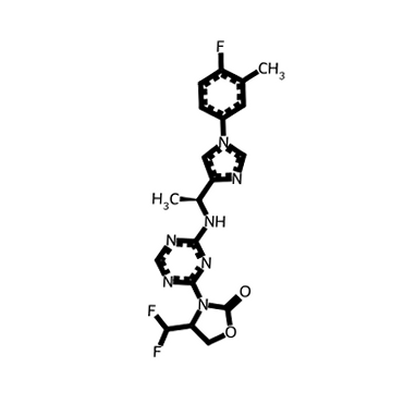 Cc1cc(-n2cnc([C@H](C)Nc3ncnc(N4C(=O)OCC4C(F)F)n3)c2)ccc1F